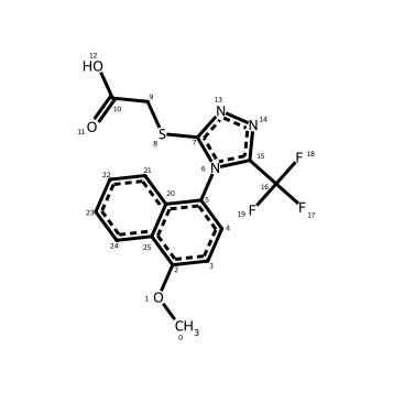 COc1ccc(-n2c(SCC(=O)O)nnc2C(F)(F)F)c2ccccc12